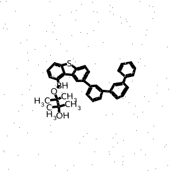 CC(C)(O)C(C)(C)OBc1cccc2sc3ccc(-c4cccc(-c5cccc(-c6ccccc6)c5)c4)cc3c12